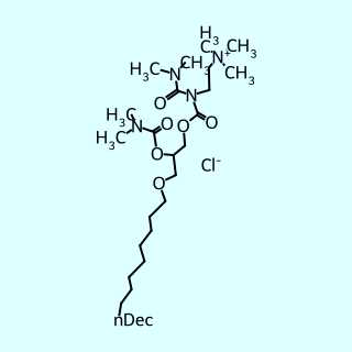 CCCCCCCCCCCCCCCCCCOCC(COC(=O)N(CC[N+](C)(C)C)C(=O)N(C)C)OC(=O)N(C)C.[Cl-]